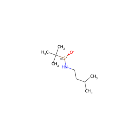 CC(C)CCN[S@+]([O-])C(C)(C)C